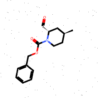 C[C@H]1CCN(C(=O)OCc2ccccc2)[C@H](C=O)C1